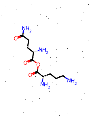 NCCC[C@@H](N)C(=O)OC(=O)[C@@H](N)CCC(N)=O